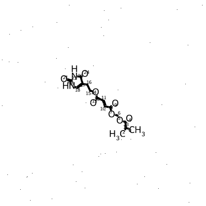 CC(C)C(=O)OCOC(=O)/C=C/C(=O)OCCc1c[nH]c(=O)[nH]c1=O